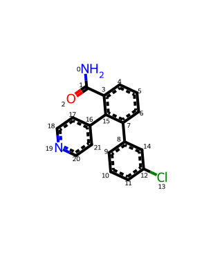 NC(=O)c1cccc(-c2cccc(Cl)c2)c1-c1ccncc1